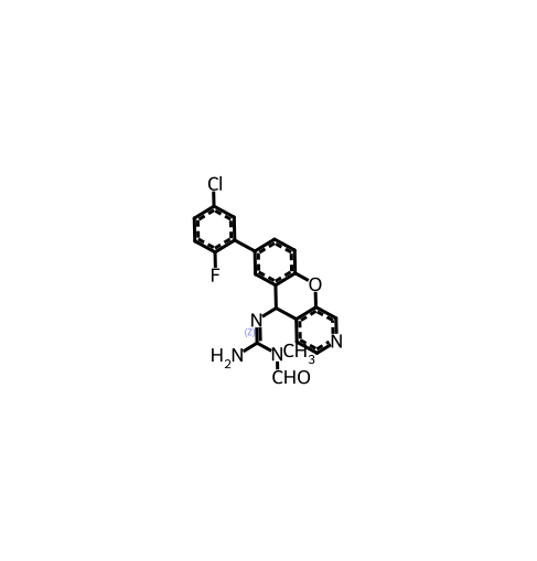 CN(C=O)/C(N)=N\C1c2ccncc2Oc2ccc(-c3cc(Cl)ccc3F)cc21